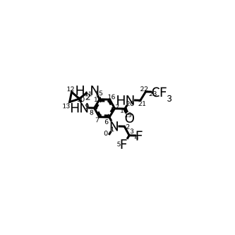 CN(CC(F)F)c1cc(NC2(C)CC2)c(N)cc1C(=O)NCCC(F)(F)F